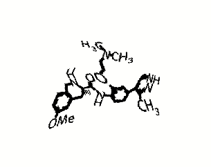 COc1ccc2c(c1)C[C@H](C(=O)Nc1ccc(-c3c[nH]nc3C)cc1OCCN(C)C)NC2